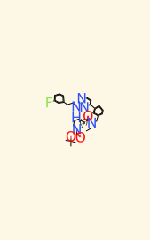 CCN(Cc1cccc(-c2ccnc(NCCc3cccc(F)c3)n2)c1)C(=O)[C@H]1CCCN(C(=O)OC(C)(C)C)C1